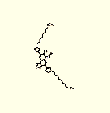 CCCCCCCCCCCCCCCCCCc1csc(C2=Cc3c(cc(-c4cc(CCCCCCCCCCCCCCCCCC)cs4)c4nsnc34)/C(=N/S)C2=N)c1